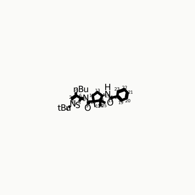 CCCCc1cn(C(C)(C)C)s/c1=N\C(=O)[C@]1(C)CC[C@H](NC(=O)c2ccccc2)C1(C)C